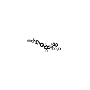 CCOC(=O)C(c1ncn2c1CCC2)n1cc2c(Cl)cc(-c3ccc(N4CCN(C(=O)OC(C)(C)C)CC4)cc3)c(F)c2n1